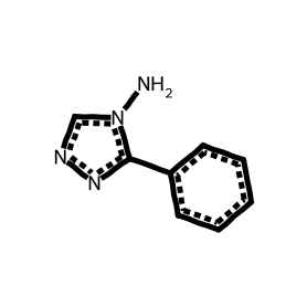 Nn1cnnc1-c1ccccc1